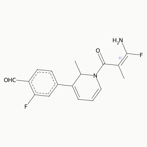 C/C(C(=O)N1C=CC=C(c2ccc(C=O)c(F)c2)C1C)=C(/N)F